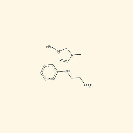 CCCCN1C=CN(C)C1.O=C(O)CCNc1ccccc1